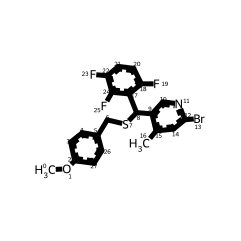 COc1ccc(CSC(c2cnc(Br)cc2C)c2c(F)ccc(F)c2F)cc1